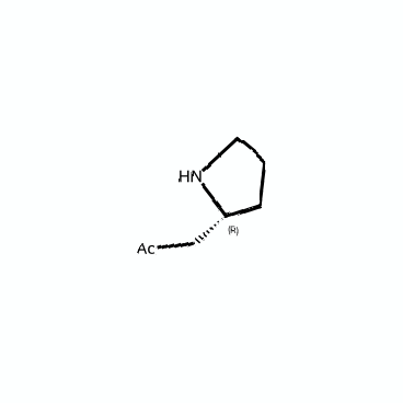 CC(=O)C[C@H]1CCCN1